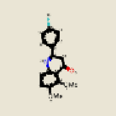 COc1ccc2c(c1OC)C(=O)CC(c1ccc(F)cc1)=N2